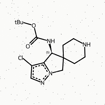 CC(C)(C)OC(=O)N[C@@H]1c2c(Cl)cnn2CC12CCNCC2